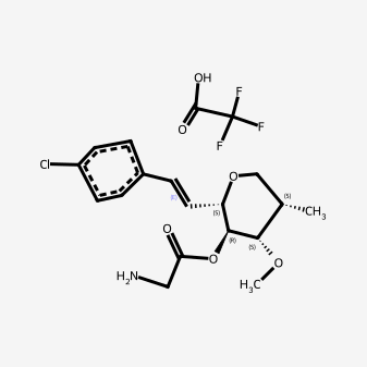 CO[C@@H]1[C@@H](OC(=O)CN)[C@H](/C=C/c2ccc(Cl)cc2)OC[C@@H]1C.O=C(O)C(F)(F)F